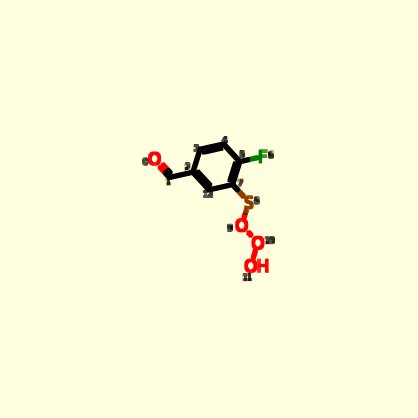 O=Cc1ccc(F)c(SOOO)c1